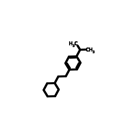 CC(C)c1ccc(CCC2CCCCC2)cc1